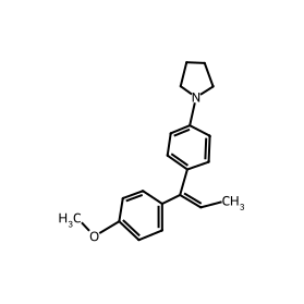 CC=C(c1ccc(OC)cc1)c1ccc(N2CCCC2)cc1